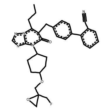 CCCc1c(Cc2ccc(-c3ccccc3C#N)cc2)c(=O)n(C2CCC(OCC3(CF)CO3)CC2)c2ncnn12